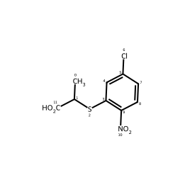 CC(Sc1cc(Cl)ccc1[N+](=O)[O-])C(=O)O